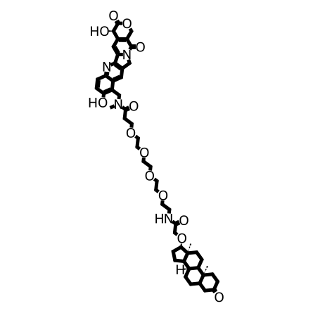 CN(Cc1c(O)ccc2nc3c(cc12)Cn1c-3cc2c(c1=O)COC(=O)[C@H]2O)C(=O)CCOCCOCCOCCOCCNC(=O)CO[C@H]1CCC2[C@@H]3CCC4CC(=O)CC[C@]4(C)C3CC[C@@]21C